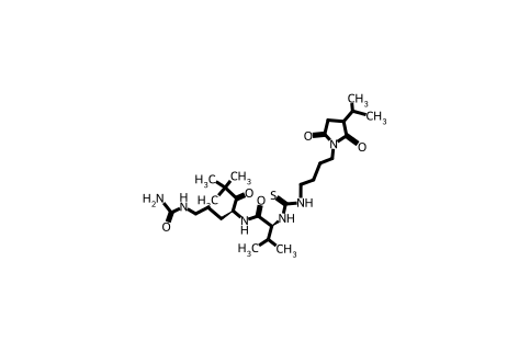 CC(C)C1CC(=O)N(CCCCNC(=S)N[C@H](C(=O)N[C@@H](CCCNC(N)=O)C(=O)C(C)(C)C)C(C)C)C1=O